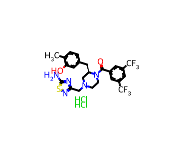 Cc1ccc(C[C@@H]2CN(Cc3nsc(N)n3)CCN2C(=O)c2cc(C(F)(F)F)cc(C(F)(F)F)c2)cc1O.Cl.Cl